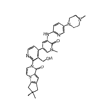 CN1CCN(c2ccc(Nc3cc(-c4ccnc(-n5ccn6c7c(cc6c5=O)CC(C)(C)C7)c4CO)cn(C)c3=O)nc2)CC1